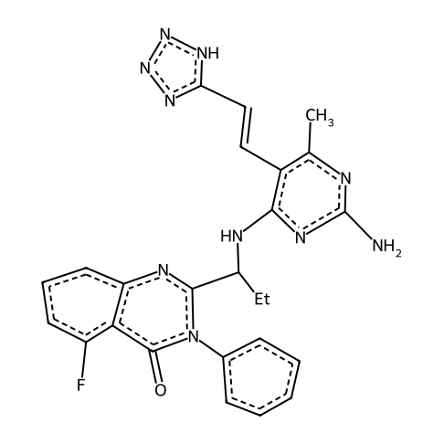 CCC(Nc1nc(N)nc(C)c1/C=C/c1nnn[nH]1)c1nc2cccc(F)c2c(=O)n1-c1ccccc1